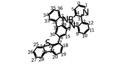 c1cnc2c(c1)B1N(c3ccccc3-2)c2cc(-c3cccc4c3sc3ccccc34)cc3c4ccccc4n1c23